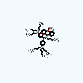 CCCCN(P(c1ccc([Si](CCCC)(CCCC)CCCC)cc1)c1ccc([Si](CCCC)(CCCC)CCCC)cc1)P(c1ccccc1SC)c1ccccc1SC